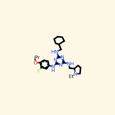 CCN1CCCC1CNc1nc(NCC2CCCCC2)nc(Nc2ccc(OC(C)C)c(F)c2)n1